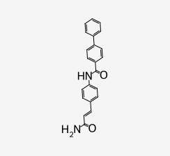 NC(=O)C=Cc1ccc(NC(=O)c2ccc(-c3ccccc3)cc2)cc1